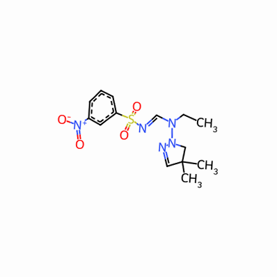 CCN(C=NS(=O)(=O)c1cccc([N+](=O)[O-])c1)N1CC(C)(C)C=N1